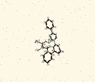 CC(C)[C@@H](CNc1nccc(-c2ccccc2)n1)N(C)C(=O)c1ccccc1-c1ccccc1